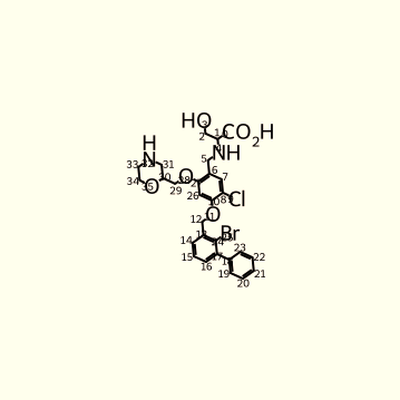 O=C(O)C(CO)NCc1cc(Cl)c(OCc2cccc(-c3ccccc3)c2Br)cc1OCC1CNCCO1